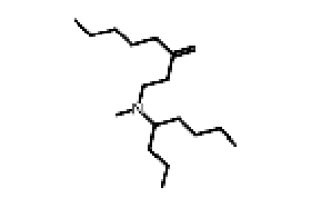 C=C(CCCCC)CCN(C)C(CCC)CCCC